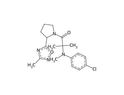 Cc1noc(C2CCCN2C(=O)C(C)(C)N(C)c2ccc(Cl)cc2)n1